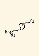 CCN(CC)CCN1CCN(CCCl)CC1